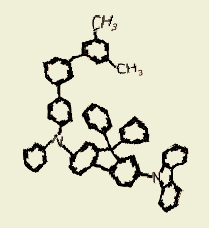 Cc1cc(C)cc(-c2cccc(-c3ccc(N(c4ccccc4)c4ccc5c(c4)C(c4ccccc4)(c4ccccc4)c4cc(-n6c7ccccc7c7ccccc76)ccc4-5)cc3)c2)c1